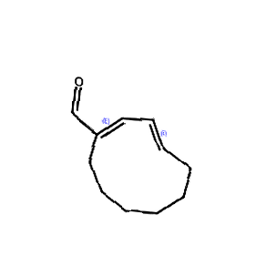 O=C/C1=C/C=C/CCCCCC1